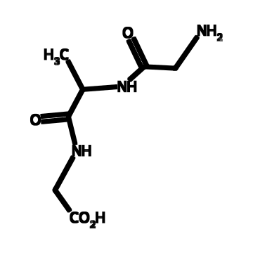 CC(NC(=O)CN)C(=O)NCC(=O)O